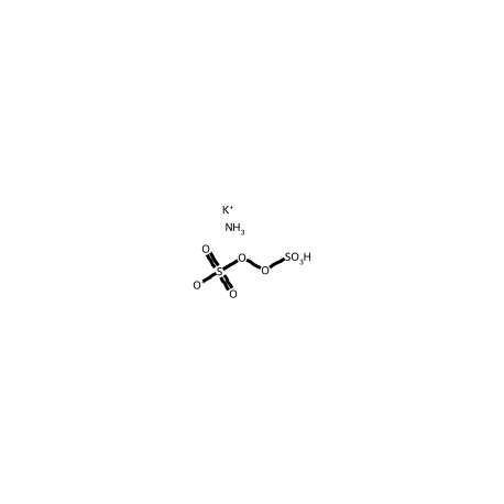 N.O=S(=O)([O-])OOS(=O)(=O)O.[K+]